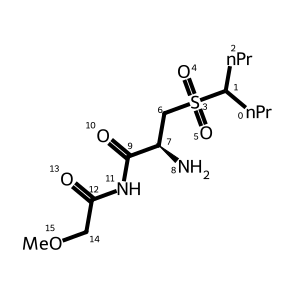 CCCC(CCC)S(=O)(=O)C[C@@H](N)C(=O)NC(=O)COC